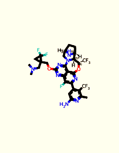 Cc1nc(N)cc(-c2nc3c4c(nc(OCC5(CN(C)C)CC5(F)F)nc4c2F)N2C[C@H]4CC[C@H](N4)[C@H]2[C@H](C(F)(F)F)O3)c1C(F)(F)F